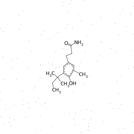 CCC(C)(C)c1cc(CCC(N)=O)cc(C)c1O